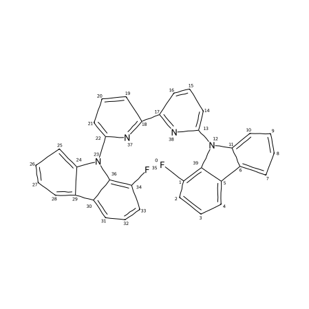 Fc1cccc2c3ccccc3n(-c3cccc(-c4cccc(-n5c6ccccc6c6cccc(F)c65)n4)n3)c12